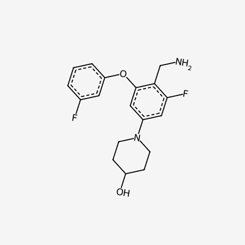 NCc1c(F)cc(N2CCC(O)CC2)cc1Oc1cccc(F)c1